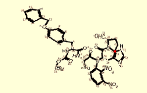 CC[C@H](C)[C@H](NC(=O)[C@H](Cc1ccc(OCc2ccccc2)cc1)NC(=O)OC(C)(C)C)C(=O)N(c1cccc([N+](=O)[O-])c1[N+](=O)[O-])[C@@H](Cc1c[nH]cn1)C(=O)N1CCC[C@H]1[C]=O